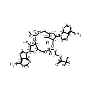 COP1(=O)OCC2OC(n3cnc4c(N)ncnc43)C(OP(=O)(OCOC(=O)C(C)(C)C)OCC3O[C@@H](n4cnc5c(N)ncnc54)C(F)[C@H]3O1)[C@H]2C